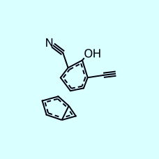 C#Cc1cccc(C#N)c1O.c1cc2cc-2c1